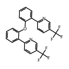 FC(F)(F)c1ccc(-c2ccccc2Oc2ccccc2-c2ccc(C(F)(F)F)cn2)nc1